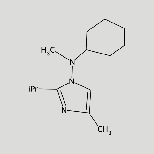 Cc1cn(N(C)C2CCCCC2)c(C(C)C)n1